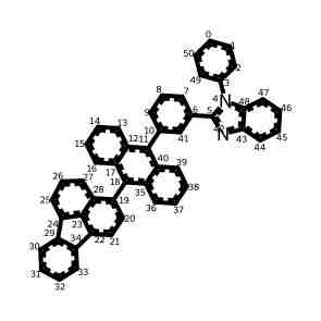 c1ccc(-n2c(-c3cccc(-c4c5ccccc5c(-c5ccc6c7c(cccc57)-c5ccccc5-6)c5ccccc45)c3)nc3ccccc32)cc1